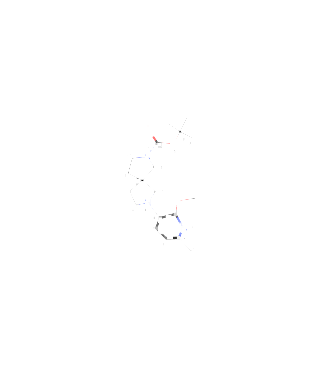 COc1nc(C)ccc1N1CCC2(CCN(C(=O)OC(C)(C)C)C2)C1